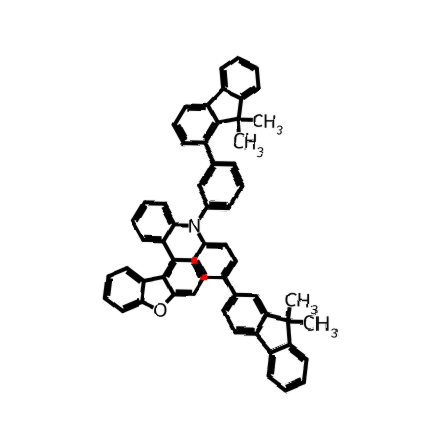 CC1(C)c2ccccc2-c2ccc(-c3ccc(N(c4cccc(-c5cccc6c5C(C)(C)c5ccccc5-6)c4)c4ccccc4-c4cccc5oc6ccccc6c45)cc3)cc21